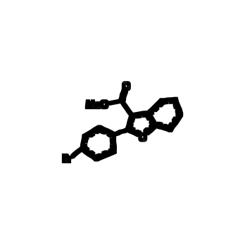 COC(=O)c1c(-c2ccc(Br)cc2)oc2ccccc12